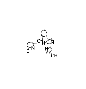 Cc1cc(-c2nnc3c4ccccc4c(OCc4cccc(Cl)n4)nn23)no1